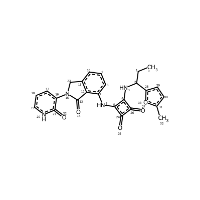 CCC(Nc1c(Nc2cccc3c2C(=O)N(c2ccc[nH]c2=O)C3)c(=O)c1=O)c1ccc(C)o1